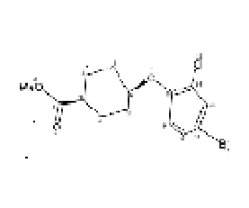 COC(=O)[C@H]1CC[C@@H](Oc2ccc(Br)cc2Cl)CC1